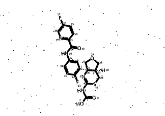 O=C(O)NC1=N[C@@]2(c3cc(NC(=O)c4ccc(F)cn4)ccc3F)COC[C@H]2CS1